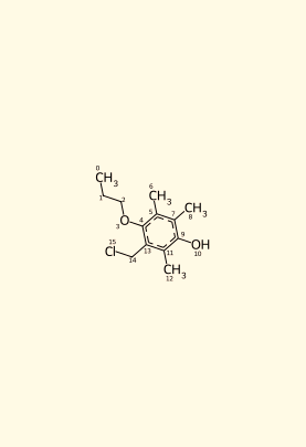 CCCOc1c(C)c(C)c(O)c(C)c1CCl